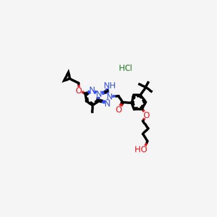 Cc1cc(OCC2CC2)nn2c(=N)n(CC(=O)c3cc(OCCCCO)cc(C(C)(C)C)c3)nc12.Cl